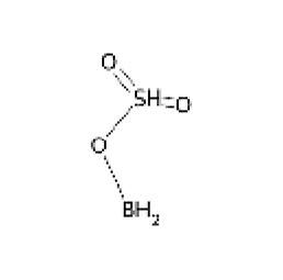 BO[SH](=O)=O